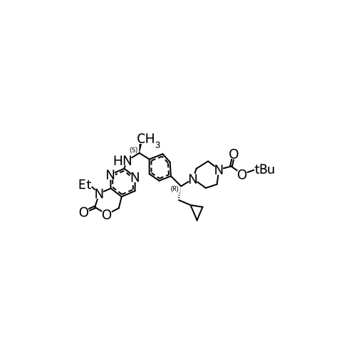 CCN1C(=O)OCc2cnc(N[C@@H](C)c3ccc([C@@H](CC4CC4)N4CCN(C(=O)OC(C)(C)C)CC4)cc3)nc21